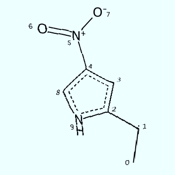 C[CH]c1cc([N+](=O)[O-])c[nH]1